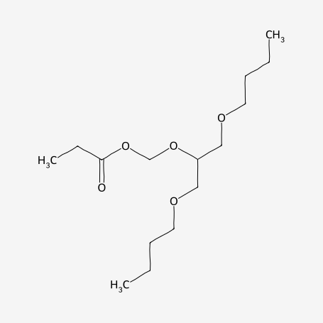 CCCCOCC(COCCCC)OCOC(=O)CC